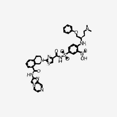 CN(C)CC[C@H](COc1ccccc1)Nc1ccc(S(=O)(=O)NC(=O)c2csc(N3CCc4cccc(C(=O)Nc5cn6ccncc6n5)c4C3)n2)cc1[N+](=O)O